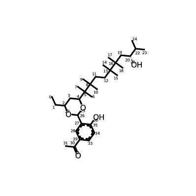 CCC1CC(C(C)(C)C(C)(C)CCC(C)(C)C(C)(C)C[C@@H](O)C(C)C)OC(c2cc(C(C)=O)ccc2O)O1